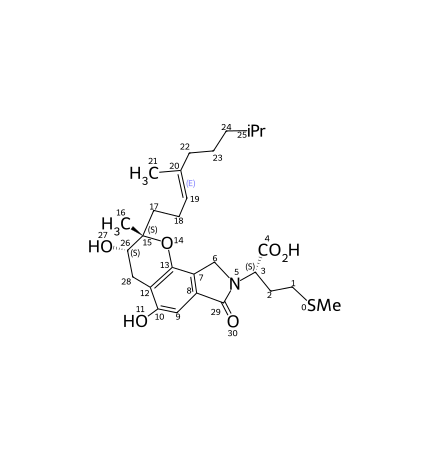 CSCC[C@@H](C(=O)O)N1Cc2c(cc(O)c3c2O[C@@](C)(CC/C=C(\C)CCCC(C)C)[C@@H](O)C3)C1=O